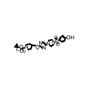 CC1(OC(=O)N2CCC(COc3cnc(N4CCN(S(=O)(=O)c5ccc(O)cc5)CC4)cn3)CC2)CC1